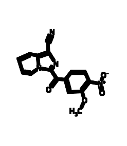 COc1cc(C(=O)c2nc(C#N)c3ccccn23)ccc1[N+](=O)[O-]